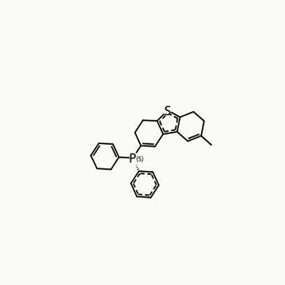 CC1=Cc2c(sc3c2C=C([P@@](C2=CC=CCC2)c2ccccc2)CC3)CC1